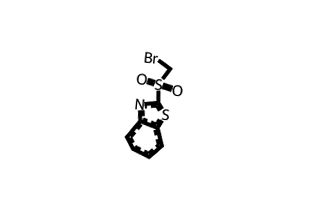 O=S(=O)(CBr)c1nc2ccccc2s1